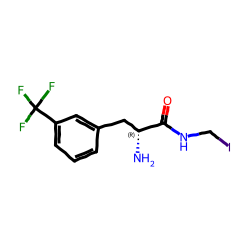 N[C@H](Cc1cccc(C(F)(F)F)c1)C(=O)NCI